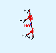 CCCCCCCCCOC(CCC(=O)OCCCCCCCN(CCCCO)CCCCCCCOC(=O)CCC(OCCCCCCCCC)OCCCCCCCCC)OCCCCCCCCC